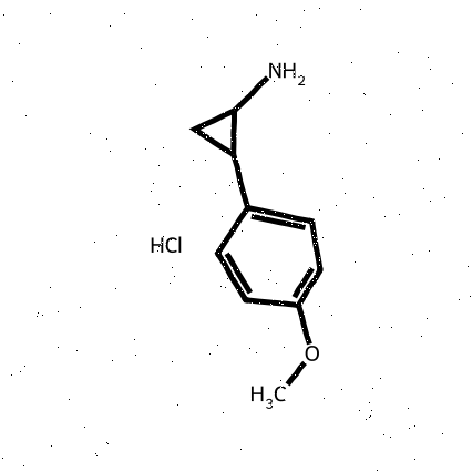 COc1ccc(C2CC2N)cc1.Cl